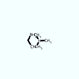 BCC#N.CN(C)C